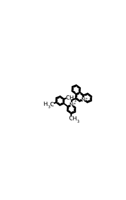 Cc1ccc(C)c(-c2cc(C)cc[n+]2Cc2c[n+]3ccccc3c3ccccc23)c1